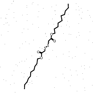 CCCCCCCCCCOC(=O)CSSCC(=O)OCCCCCCCCCC